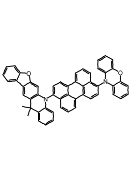 CC1(C)c2ccccc2N(c2ccc3c4cccc5c(N6c7ccccc7Oc7ccccc76)ccc(c6cccc2c63)c54)c2cc3oc4ccccc4c3cc21